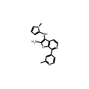 Cc1cc(-c2nccc3c(Nc4cccn4C)c(N)oc23)ccn1